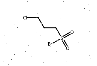 O=S(=O)(Br)CCCCl